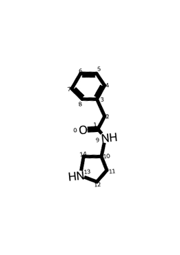 O=C(Cc1ccccc1)NC1CCNC1